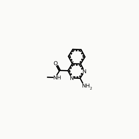 CNC(=O)c1nc(N)nc2ccccc12